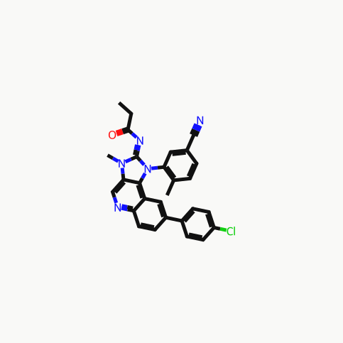 CCC(=O)N=c1n(C)c2cnc3ccc(-c4ccc(Cl)cc4)cc3c2n1-c1cc(C#N)ccc1C